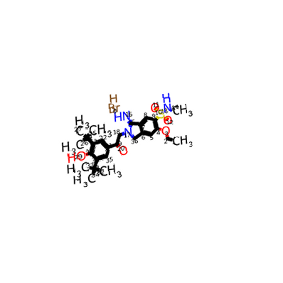 Br.CCOc1cc2c(cc1S(=O)(=O)NC)C(=N)N(CC(=O)c1cc(C(C)(C)C)c(O)c(C(C)(C)C)c1)C2